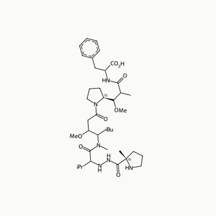 CCC(C)C(C(CC(=O)N1CCC[C@H]1C(OC)C(C)C(=O)NC(Cc1ccccc1)C(=O)O)OC)N(C)C(=O)C(NNC(=O)[C@]1(C)CCCN1)C(C)C